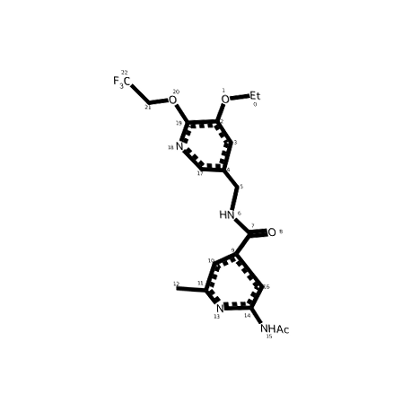 CCOc1cc(CNC(=O)c2cc(C)nc(NC(C)=O)c2)cnc1OCC(F)(F)F